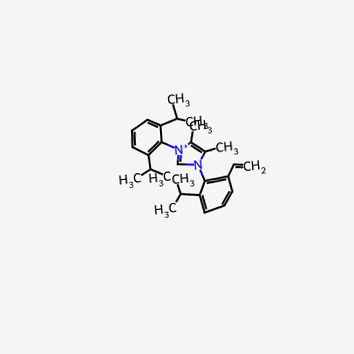 C=Cc1cccc(C(C)C)c1-n1c[n+](-c2c(C(C)C)cccc2C(C)C)c(C)c1C